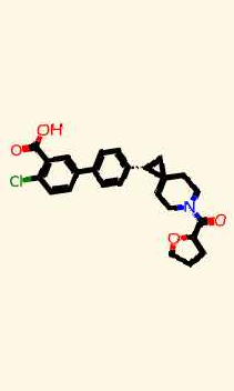 O=C(O)c1cc(-c2ccc([C@@H]3CC34CCN(C(=O)C3CCCO3)CC4)cc2)ccc1Cl